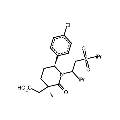 CC(C)C(CS(=O)(=O)C(C)C)N1C(=O)[C@@](C)(CC(=O)O)CC[C@H]1c1ccc(Cl)cc1